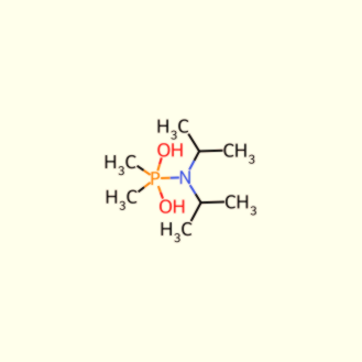 CC(C)N(C(C)C)P(C)(C)(O)O